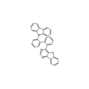 c1ccc(-c2ncnc3c2sc2ccccc23)c(-c2ccccc2-n2c3ccccc3c3ccccc32)c1